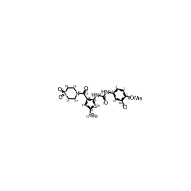 COc1ccc(NC(=O)Nc2sc(C(C)(C)C)cc2C(=O)N2CCS(=O)(=O)CC2)cc1Cl